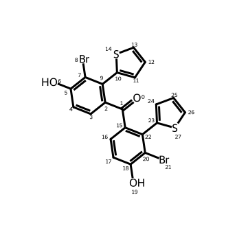 O=C(c1ccc(O)c(Br)c1-c1cccs1)c1ccc(O)c(Br)c1-c1cccs1